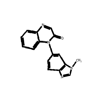 Cn1cnc2ccc(-n3c(=O)cnc4ccccc43)cc21